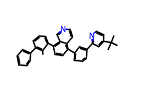 Cc1c(-c2ccccc2)cccc1-c1ccc(-c2cccc(-c3cc(C(C)(C)C)ccn3)c2)c2ccncc12